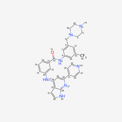 CN1CCN(Cc2cc(NC(=O)c3cccc(Nc4cc(-c5ccncc5)nc5[nH]ccc45)c3)cc(C(F)(F)F)c2)CC1